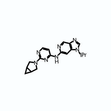 CC(C)n1cnc2cnc(Nc3ccnc(N4CC5CC5C4)n3)cc21